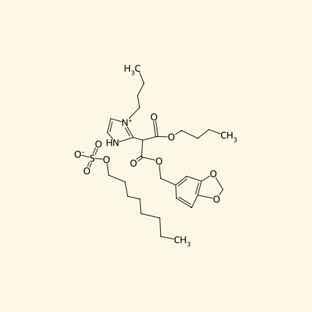 CCCCCCCCOS(=O)(=O)[O-].CCCCOC(=O)C(C(=O)OCc1ccc2c(c1)OCO2)c1[nH]cc[n+]1CCCC